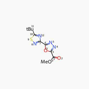 COC(=O)c1nnc(-c2nsc(C(C)(C)C)n2)o1